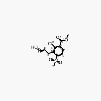 COC(=O)c1ccc(S(C)(=O)=O)c(CC=NO)c1Cl